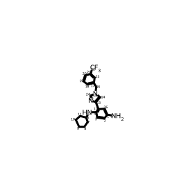 Nc1ccc(NC2CCCCC2)c(-c2cn(Cc3cccc(C(F)(F)F)c3)cn2)c1